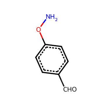 NOc1ccc(C=O)cc1